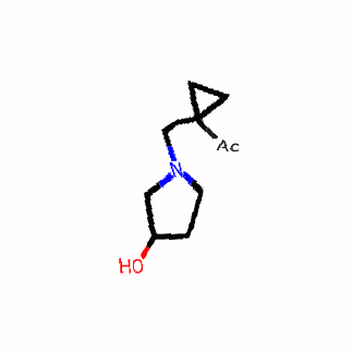 CC(=O)C1(CN2CCC(O)C2)CC1